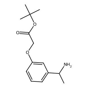 CC(N)c1cccc(OCC(=O)OC(C)(C)C)c1